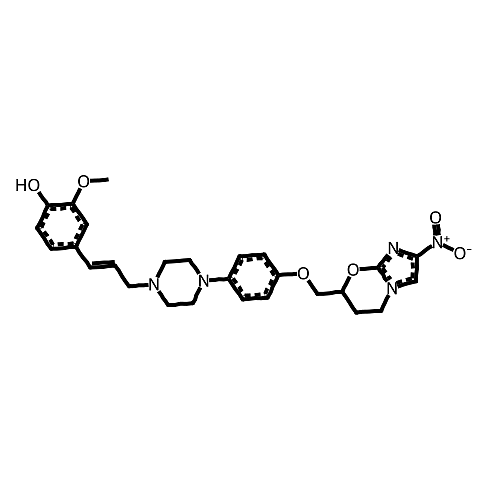 COc1cc(C=CCN2CCN(c3ccc(OCC4CCn5cc([N+](=O)[O-])nc5O4)cc3)CC2)ccc1O